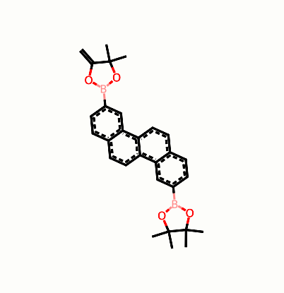 C=C1OB(c2ccc3ccc4c5cc(B6OC(C)(C)C(C)(C)O6)ccc5ccc4c3c2)OC1(C)C